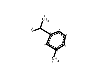 CC(Br)c1cccc(N)c1